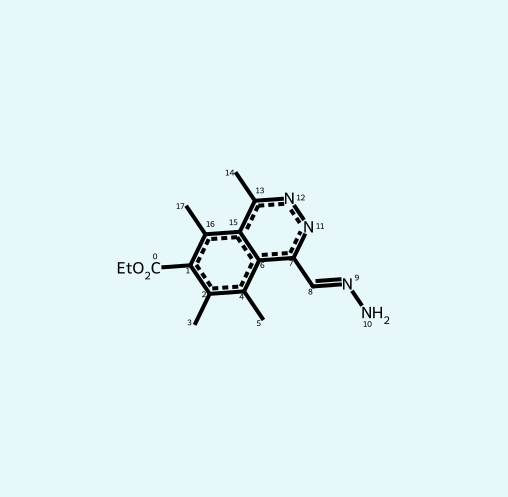 CCOC(=O)c1c(C)c(C)c2c(C=NN)nnc(C)c2c1C